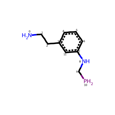 NCCc1cccc(NCP)c1